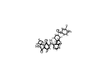 Cc1cc(Nc2ncnc3sc4c(c23)CC[C@H](C(=O)N2CCN(C)[C@H](C)C2)C4)c(=O)n2c1C(=O)NC21CSC1